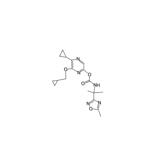 Cc1nc(C(C)(C)NC(=O)Oc2cnc(C3CC3)c(OCC3CC3)n2)no1